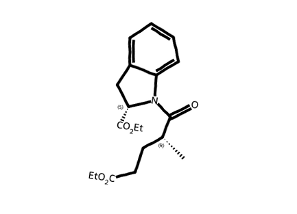 CCOC(=O)CC[C@@H](C)C(=O)N1c2ccccc2C[C@H]1C(=O)OCC